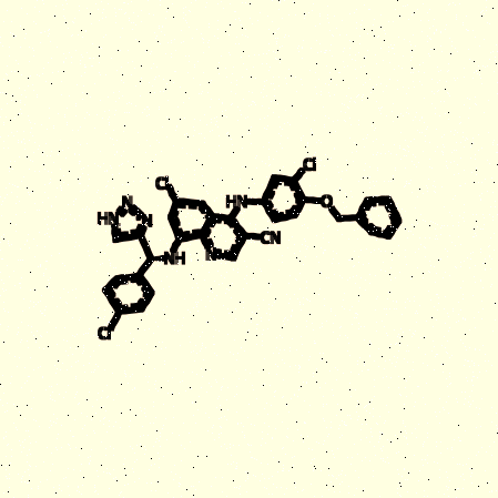 N#Cc1cnc2c(N[C@@H](c3ccc(Cl)cc3)c3c[nH]nn3)cc(Cl)cc2c1Nc1ccc(OCc2ccccc2)c(Cl)c1